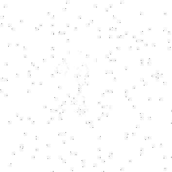 CC(=O)[C@@H](OC(C)(C)C)c1c(C)cc2nc(-c3cnc4c(c3)c(C3CCN(C5COC5)CC3)cn4C)sc2c1-c1ccc(Cl)cc1